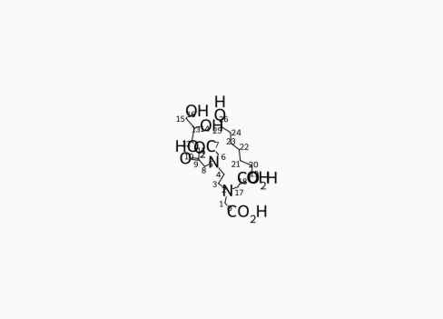 O=C(O)CN(CCN(CC(=O)O)CC(=O)OCC(O)CO)CC(=O)O.OCCCCCCO